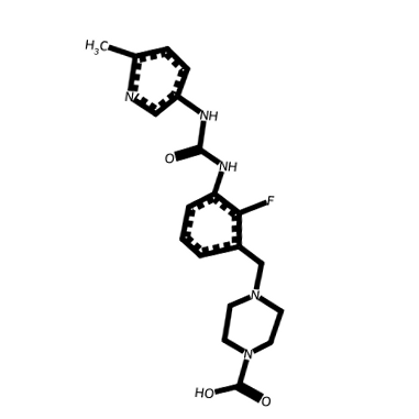 Cc1ccc(NC(=O)Nc2cccc(CN3CCN(C(=O)O)CC3)c2F)cn1